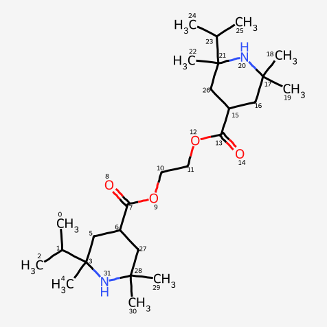 CC(C)C1(C)CC(C(=O)OCCOC(=O)C2CC(C)(C)NC(C)(C(C)C)C2)CC(C)(C)N1